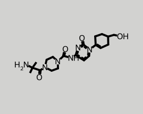 CC(C)(N)C(=O)N1CCN(C(=O)Nc2ccn(C3=CCC(CO)CC3)c(=O)n2)CC1